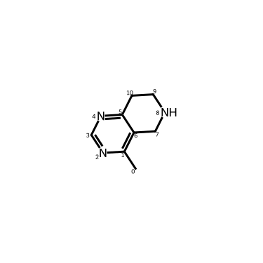 Cc1ncnc2c1CNCC2